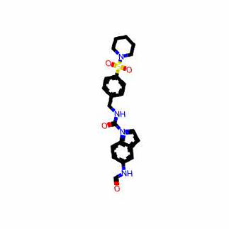 O=CNc1ccc2c(ccn2C(=O)NCc2ccc(S(=O)(=O)N3CCCCC3)cc2)c1